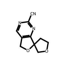 N#Cc1ncc2c(n1)C1(CCOC1)OC2